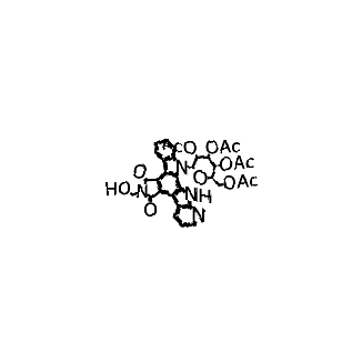 CC(=O)OC[C@H]1O[C@@H](n2c3ccccc3c3c4c(c5c6cccnc6[nH]c5c32)C(=O)N(CO)C4=O)[C@H](OC(C)=O)[C@@H](OC(C)=O)[C@@H]1OC(C)=O